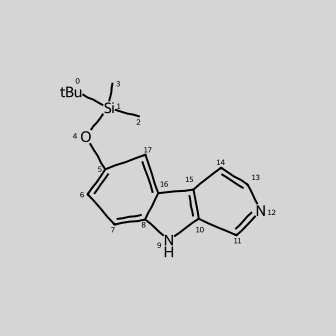 CC(C)(C)[Si](C)(C)Oc1ccc2[nH]c3cnccc3c2c1